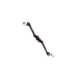 C=CC(=O)OCCCCCCCCCCCCCCCCCCOc1ccc(C(=O)Oc2ccc(OC(=O)c3ccc(OCCCCCCCCCCCCCCCCCCOC(=O)C=C)cc3)c(F)c2)cc1